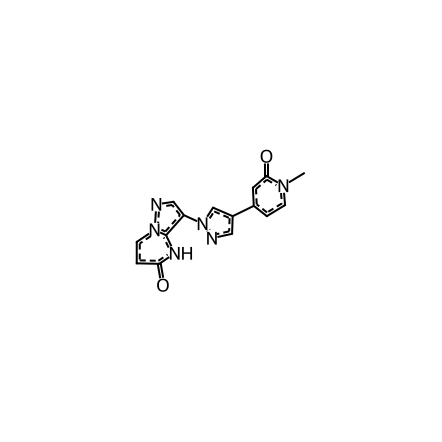 Cn1ccc(-c2cnn(-c3cnn4ccc(=O)[nH]c34)c2)cc1=O